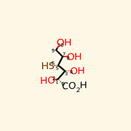 O=C(O)[C@H](O)[C@@H](O)[C@H](S)[C@H](O)CO